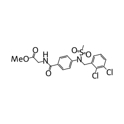 COC(=O)CNC(=O)c1ccc(N(Cc2cccc(Cl)c2Cl)S(C)(=O)=O)cc1